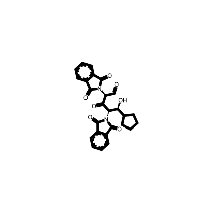 O=C[C@@H](C(=O)[C@H]([C@@H](O)C1CCCC1)N1C(=O)c2ccccc2C1=O)N1C(=O)c2ccccc2C1=O